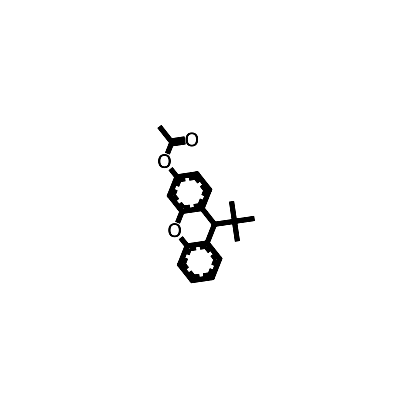 CC(=O)Oc1ccc2c(c1)Oc1ccccc1C2C(C)(C)C